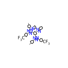 Cc1ccc(-c2nc(-c3ccc(C(F)(F)F)cc3)nc(-c3cc(-c4nc(-c5ccc(C)cc5)nc(-c5ccc(C(F)(F)F)cc5)n4)cc(-c4nc5ccccc5n4-c4cccnc4)c3)n2)cc1